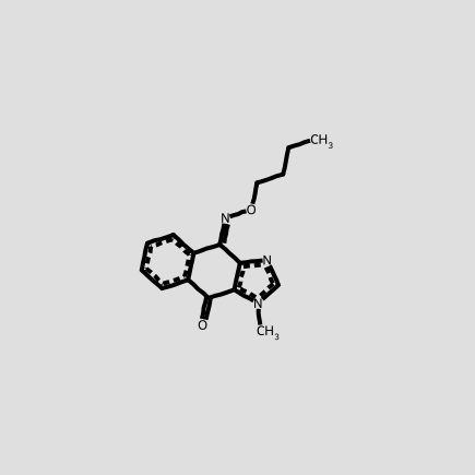 CCCCON=C1c2ccccc2C(=O)c2c1ncn2C